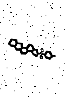 Cc1ccc(S(=O)(=O)c2ccc3c(ccc4c5cc6ccccc6cc5ccc34)c2)cc1